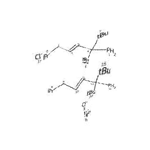 CC(C)CC=CC(P)(C(C)(C)C)C(C)(C)C.CC(C)CC=CC(P)(C(C)(C)C)C(C)(C)C.[Cl-].[Cl-].[Ni+2]